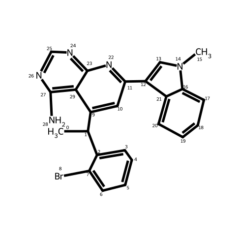 CC(c1ccccc1Br)c1cc(-c2cn(C)c3ccccc23)nc2ncnc(N)c12